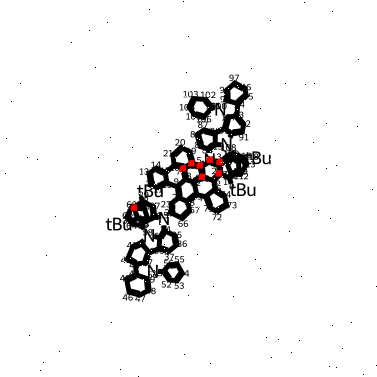 CC(C)(C)c1cc(N(c2ccc3c(-c4ccccc4-c4ccccc4)c4cc(N(c5cc(C(C)(C)C)cc(C(C)(C)C)c5)c5cccc6c7c(ccc8c9ccccc9n(-c9ccccc9)c87)n(-c7ccccc7)c56)ccc4c(-c4ccccc4-c4ccccc4)c3c2)c2cccc3c4c(ccc5c6ccccc6n(-c6ccccc6)c54)n(-c4ccccc4)c23)cc(C(C)(C)C)c1